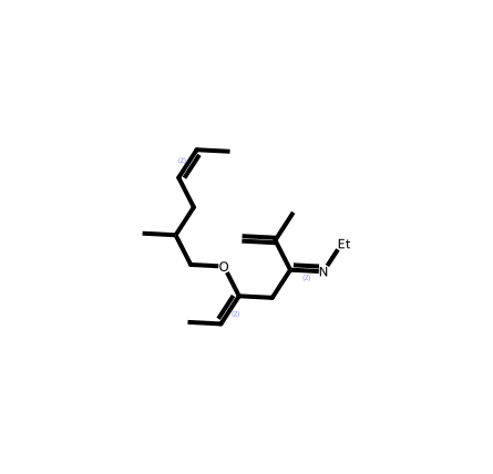 C=C(C)/C(C/C(=C/C)OCC(C)C/C=C\C)=N\CC